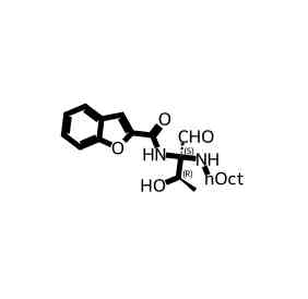 CCCCCCCCN[C@](C=O)(NC(=O)c1cc2ccccc2o1)[C@@H](C)O